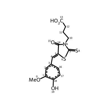 COc1cc(/C=C2\SC(=S)N(CCCC(=O)O)C2=O)ccc1O